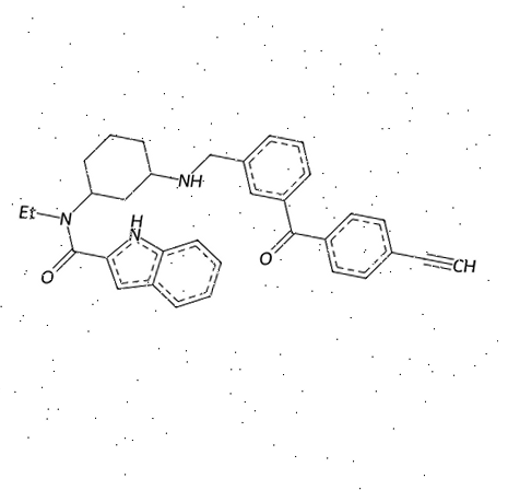 C#Cc1ccc(C(=O)c2cccc(CNC3CCCC(N(CC)C(=O)c4cc5ccccc5[nH]4)C3)c2)cc1